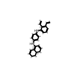 C=Cc1cccc(Nc2ccc(NC3=C4C=CCCC4CC=C3)cc2)c1C=C